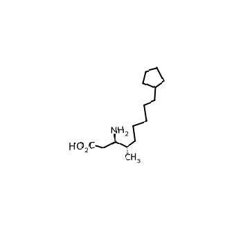 C[C@@H](CCCCCC1CCCC1)[C@H](N)CC(=O)O